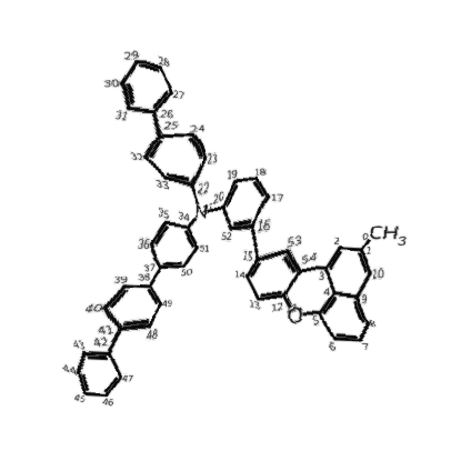 Cc1cc2c3c(cccc3c1)Oc1ccc(-c3cccc(N(c4ccc(-c5ccccc5)cc4)c4ccc(-c5ccc(-c6ccccc6)cc5)cc4)c3)cc1-2